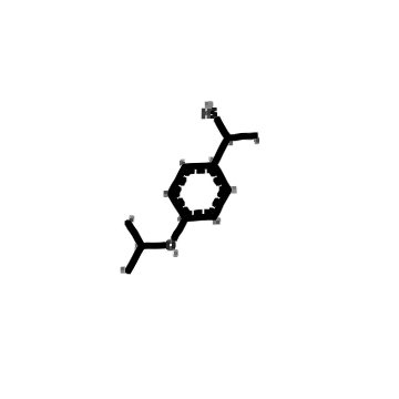 CC(C)Oc1ccc(C(C)S)cc1